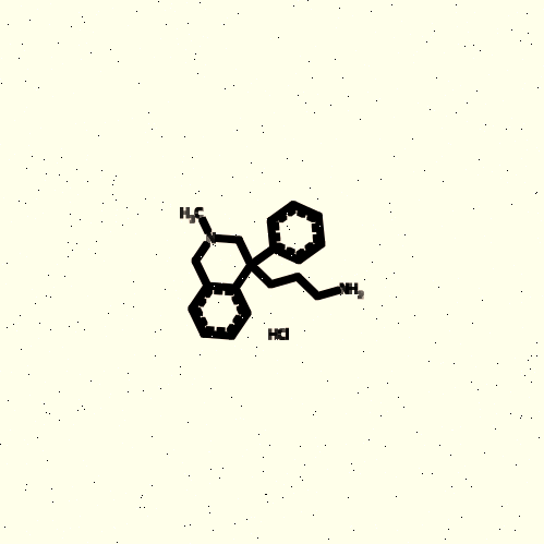 CN1Cc2ccccc2C(CCCN)(c2ccccc2)C1.Cl